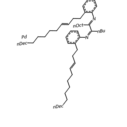 CCCCCCCCCCCCCCC/C=C/CCc1ccccc1/N=C(CCCC)\C(CCCCCCCC)=N\c1ccccc1CC/C=C/CCCCCCCCCCCCCCC.[Pd]